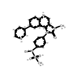 CCN(c1ccc(-n2c(=O)n(C)c3cnc4ccc(-c5cccnc5)cc4c32)cc1)S(C)(=O)=O